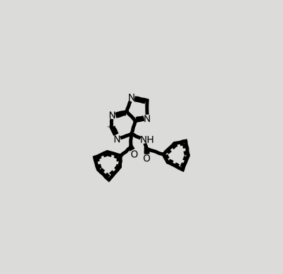 O=C(NC1(C(=O)c2ccccc2)N=[C]N=C2N=CN=C21)c1ccccc1